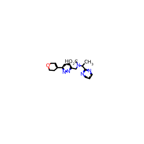 CC(c1ncccn1)N(Cc1ccc(C2=CCOCC2)nn1)C(=O)O